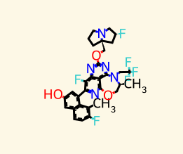 Cc1c(F)ccc2cc(O)cc(-c3nc4c5c(nc(OC[C@@]67CCCN6C[C@H](F)C7)nc5c3F)N(CC(F)(F)F)[C@@H](C)CO4)c12